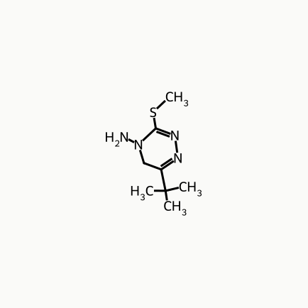 CSC1=NN=C(C(C)(C)C)CN1N